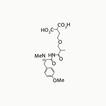 CN[C@@H](Cc1ccc(OC)cc1)C(=O)NC(=O)C(C)COCCC(C(=O)O)C(=O)O